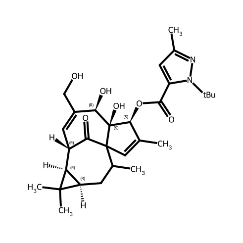 CC1=CC23C(=O)[C@@H](C=C(CO)[C@@H](O)[C@]2(O)[C@H]1OC(=O)c1cc(C)nn1C(C)(C)C)[C@H]1[C@@H](CC3C)C1(C)C